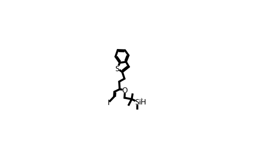 C[SiH](C)C(C)(C)COC(/C=C/I)CCc1cc2ccccc2s1